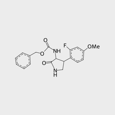 COc1ccc(C2CNC(=O)C2NC(=O)OCc2ccccc2)c(F)c1